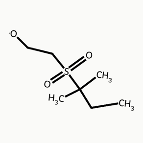 CCC(C)(C)S(=O)(=O)CC[O]